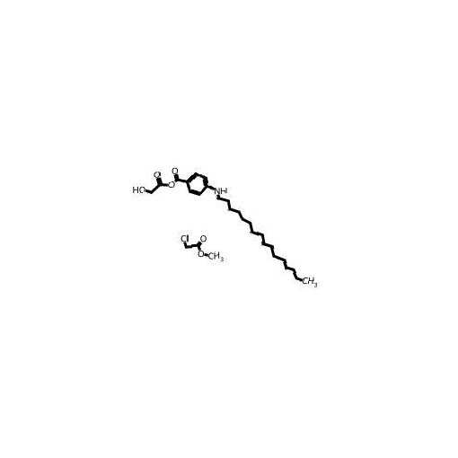 CCCCCCCCCCCCCCCCNc1ccc(C(=O)OC(=O)CO)cc1.COC(=O)CCl